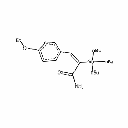 CCC[CH2][Sn]([CH2]CCC)([CH2]CCC)/[C](=C/c1ccc(OCC)cc1)C(N)=O